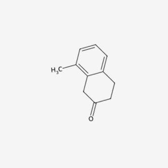 Cc1cccc2c1CC(=O)CC2